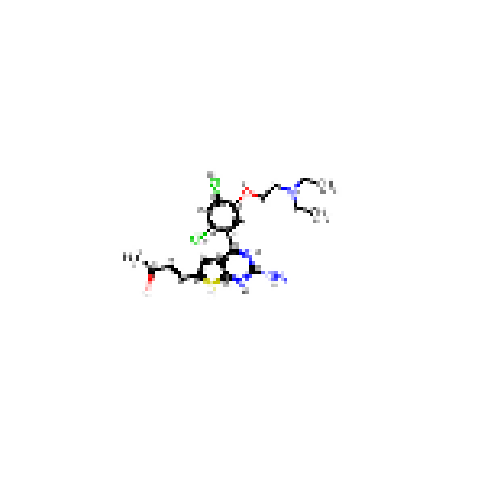 CCN(CC)CCOc1cc(-c2nc(N)nc3sc(C=CC(C)=O)cc23)c(Cl)cc1Cl